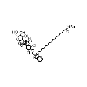 CO[C@H]1O[C@H](CO)[C@@H](O)[C@H](O)[C@H]1NC(=O)c1cc(Cl)c(OCc2nc3ccccc3n2CCCCCCCCCCCCCCCC(=O)OC(C)(C)C)c(Cl)c1C